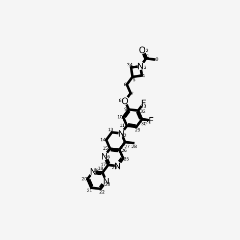 CC(=O)N1CC(CCOc2cc(N3CCc4nc(-c5ncccn5)ncc4C3C)cc(F)c2F)C1